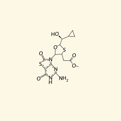 COC(=O)CC1SC([C@@H](O)C2CC2)OC1n1c(=O)sc2c(=O)[nH]c(N)nc21